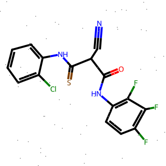 N#CC(C(=O)Nc1ccc(F)c(F)c1F)C(=S)Nc1ccccc1Cl